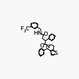 O=C(CC(C(=O)N1CCc2sccc2C1c1ccccc1)c1ccccc1)NCc1cccc(C(F)(F)F)c1